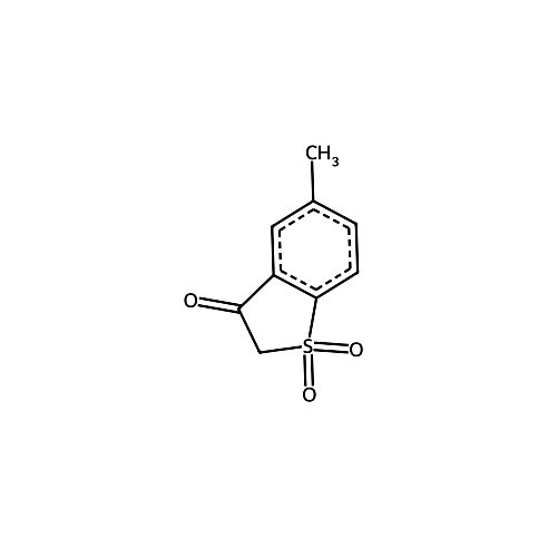 Cc1ccc2c(c1)C(=O)CS2(=O)=O